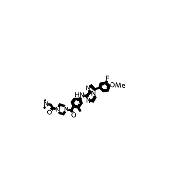 COc1ccc(-c2cnc3c(Nc4ccc(C(=O)N5CCN(C(=O)CN(C)C)CC5)c(C)c4)nccn23)cc1F